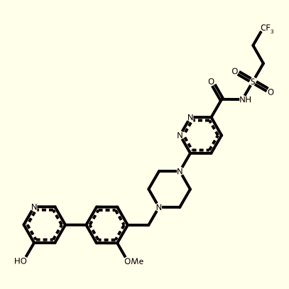 COc1cc(-c2cncc(O)c2)ccc1CN1CCN(c2ccc(C(=O)NS(=O)(=O)CCC(F)(F)F)nn2)CC1